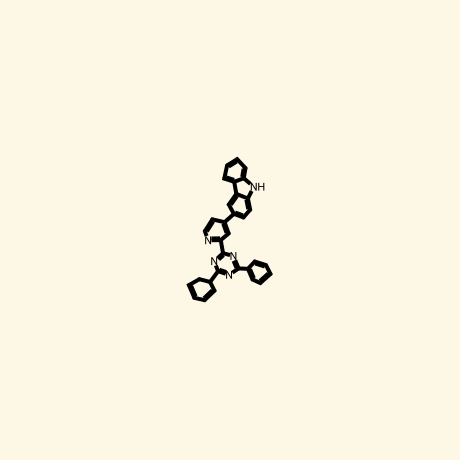 C1=CCC(c2nc(-c3ccccc3)nc(-c3cc(-c4ccc5[nH]c6ccccc6c5c4)ccn3)n2)C=C1